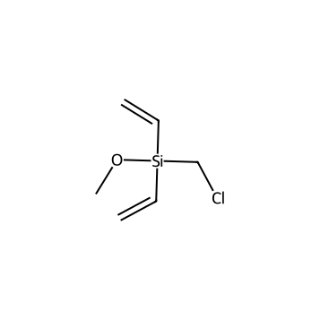 C=C[Si](C=C)(CCl)OC